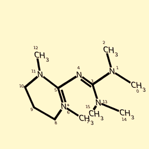 CN(C)C(=NC1=[N+](C)CCCN1C)N(C)C